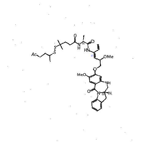 C=C/C(=C\C(COc1cc2c(cc1OC)C(=O)N1c3ccccc3C[C@H]1CN2)OC)NC(=O)[C@H](C)NC(=O)CCC(C)(C)SSC(C)CCC(C)=O